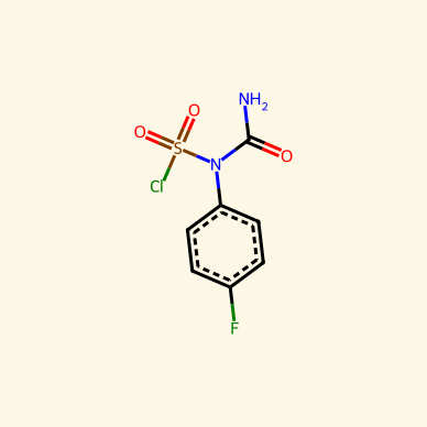 NC(=O)N(c1ccc(F)cc1)S(=O)(=O)Cl